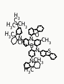 Cc1cc2c3c(c1)N(c1cccc4c1oc1ccccc14)c1cc(N4c5ccc(C(C)(C)C)cc5C5(C)CCCCC45C)ccc1B3c1ccc(N3c4ccccc4C4(C)CCCCC34C)cc1N2c1ccc2c(c1)sc1ccccc12